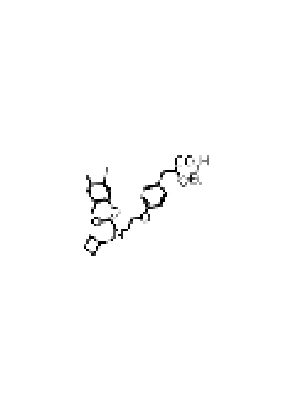 CCOC(Cc1ccc(OCCN(CC2CCC2)C(=O)Oc2cc(C)c(C)cc2C)cc1)C(=O)O